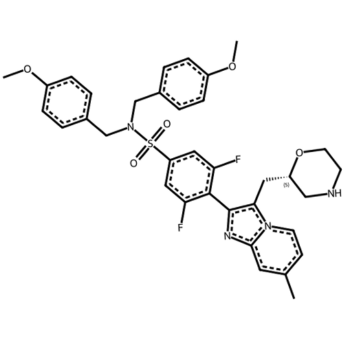 COc1ccc(CN(Cc2ccc(OC)cc2)S(=O)(=O)c2cc(F)c(-c3nc4cc(C)ccn4c3C[C@H]3CNCCO3)c(F)c2)cc1